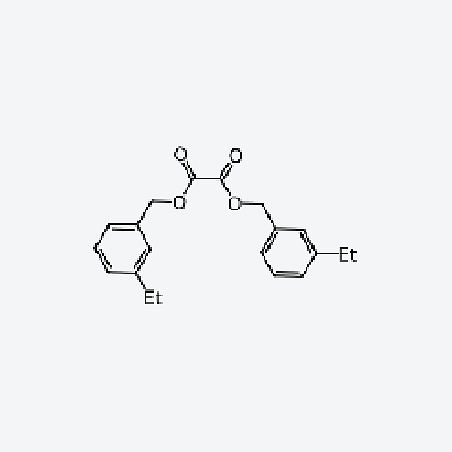 CCc1cccc(COC(=O)C(=O)OCc2cccc(CC)c2)c1